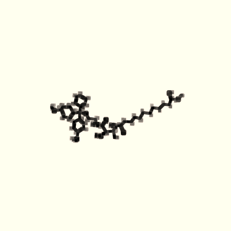 COC(=O)CCCCCCCCCCC(=O)N[C@@H](C)[C@@H](O)C(=O)NCCOC(c1ccccc1)(c1ccc(OC)cc1)c1ccc(OC)cc1